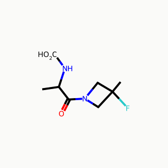 CC(NC(=O)O)C(=O)N1CC(C)(F)C1